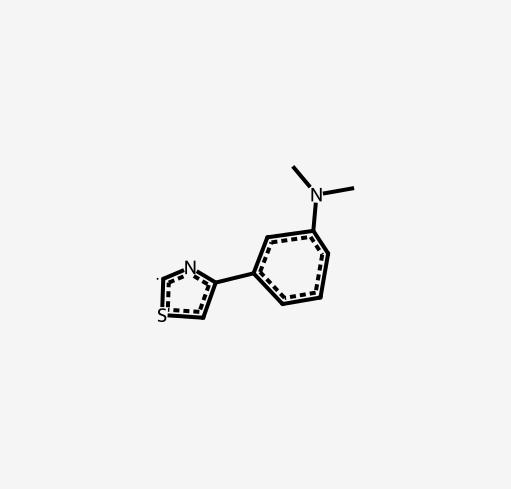 CN(C)c1cccc(-c2cs[c]n2)c1